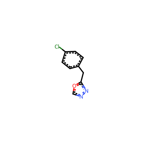 Clc1ccc(Cc2nnco2)cc1